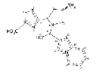 N[C@@H]1C[C@@H](c2nc(C(=O)O)cs2)N(C(O)c2cn3ccccc3n2)C1